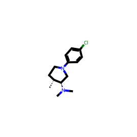 C[C@@H]1CCN(c2ccc(Cl)cc2)C[C@@H]1N(C)C